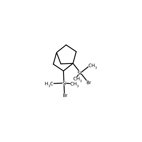 C[Si](C)(Br)C1CC2CCC1([Si](C)(C)Br)C2